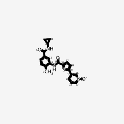 Cc1ccc(C(=O)NC2CC2)cc1NC(=O)c1ccc(-c2ccc[n+]([O-])c2)s1